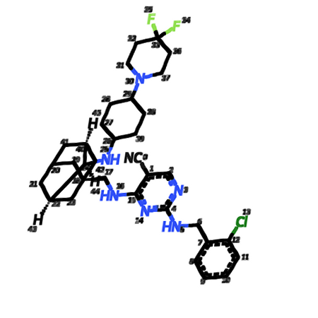 N#Cc1cnc(NCc2ccccc2Cl)nc1NC[C@]12CC3C[C@H](C1)[C@H](NC1CCC(N4CCC(F)(F)CC4)CC1)[C@@H](C3)C2